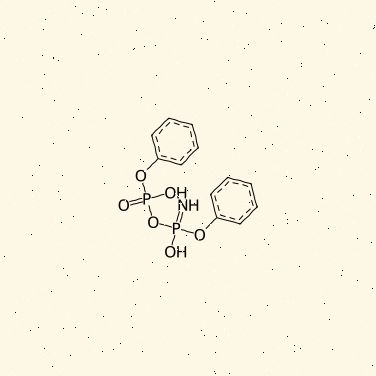 N=P(O)(Oc1ccccc1)OP(=O)(O)Oc1ccccc1